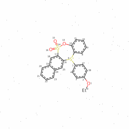 CCOc1ccc([S+]2c3ccccc3OS(=O)(=O)c3cc4ccccc4cc32)cc1